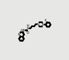 O=C(NCCCCN1CCN(c2ccccc2F)CC1)Nc1cnc2ccccc2c1